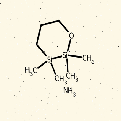 C[Si]1(C)CCCO[Si]1(C)C.N